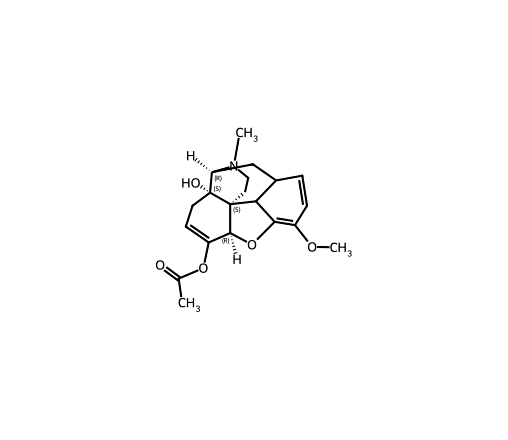 COC1=C2O[C@H]3C(OC(C)=O)=CC[C@@]4(O)[C@H]5CC(C=C1)C2[C@@]34CCN5C